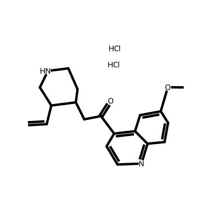 C=CC1CNCCC1CC(=O)c1ccnc2ccc(OC)cc12.Cl.Cl